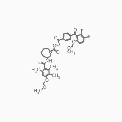 COCOc1cc(C)c(C(=O)NC2CCCCN(C(=O)OOC(=O)c3ccc(C(=O)c4c(OCOC)ccc(F)c4F)cc3)C2)c(C)c1C